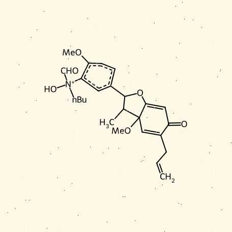 C=CCC1=CC2(OC)C(=CC1=O)OC(c1ccc(OC)c([N+](O)(C=O)CCCC)c1)C2C